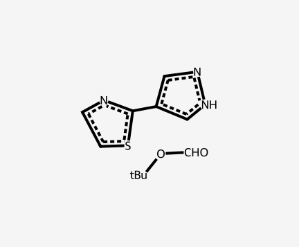 CC(C)(C)OC=O.c1csc(-c2cn[nH]c2)n1